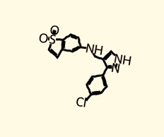 O=S1(=O)C=Cc2cc(NCc3c[nH]nc3-c3ccc(Cl)cc3)ccc21